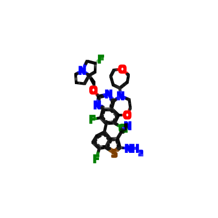 N#Cc1c(N)sc2c(F)ccc(-c3c(Cl)c4c5c(nc(OC[C@@]67CCCN6C[C@H](F)C7)nc5c3F)N(C3CCCOCC3)CCO4)c12